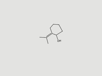 CC(C)=C1CCCCC1O